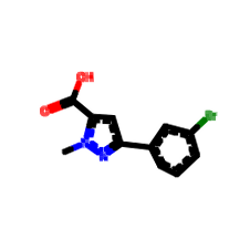 Cn1nc(-c2cccc(Br)c2)cc1C(=O)O